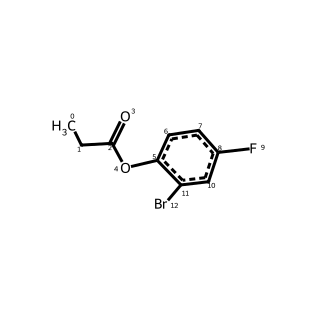 CCC(=O)Oc1ccc(F)cc1Br